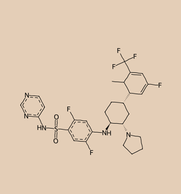 CC1C(C(F)(F)F)=CC(F)=CC1[C@H]1CC[C@H](Nc2cc(F)c(S(=O)(=O)Nc3ccncn3)cc2F)[C@@H](N2CCCC2)C1